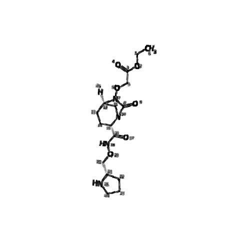 CCOC(=O)CON1C(=O)N2C[C@H]1CC[C@H]2C(=O)NOC[C@@H]1CCCN1